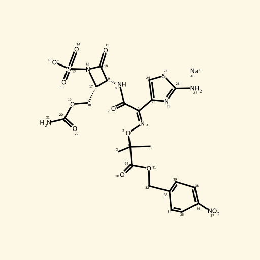 CC(C)(O/N=C(\C(=O)N[C@H]1C(=O)N(S(=O)(=O)[O-])[C@H]1COC(N)=O)c1csc(N)n1)C(=O)OCc1ccc([N+](=O)[O-])cc1.[Na+]